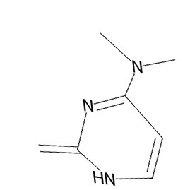 C=C1N=C(N(C)C)C=CN1